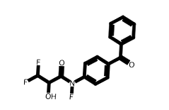 O=C(c1ccccc1)c1ccc(N(F)C(=O)C(O)C(F)F)cc1